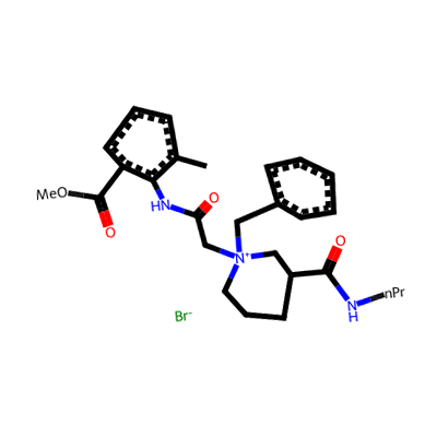 CCCNC(=O)C1CCC[N+](CC(=O)Nc2c(C)cccc2C(=O)OC)(Cc2ccccc2)C1.[Br-]